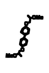 COC(C)COc1ccc(-c2ccc(OCC(C)OC)cc2)cc1